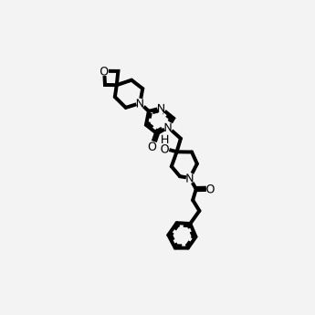 O=C(CCc1ccccc1)N1CCC(O)(Cn2cnc(N3CCC4(CC3)COC4)cc2=O)CC1